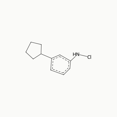 ClNc1cccc(C2CCCC2)c1